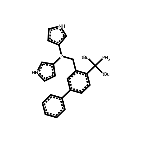 CC(C)(C)C(P)(c1ccc(-c2ccccc2)cc1CP(c1cc[nH]c1)c1cc[nH]c1)C(C)(C)C